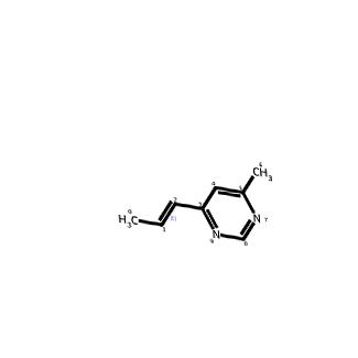 C/C=C/c1cc(C)ncn1